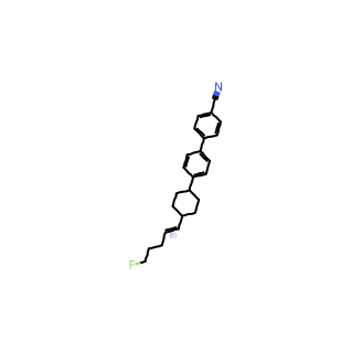 N#Cc1ccc(-c2ccc(C3CCC(/C=C/CCCF)CC3)cc2)cc1